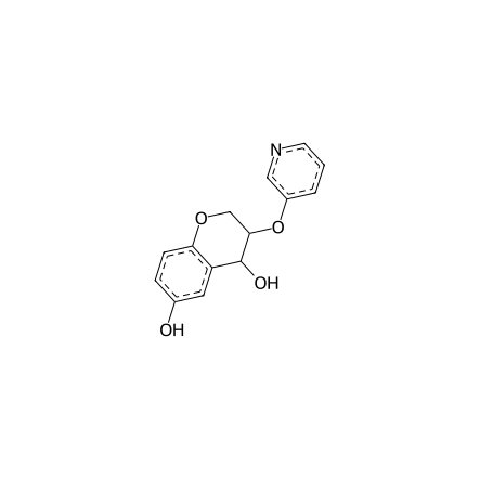 Oc1ccc2c(c1)C(O)C(Oc1cccnc1)CO2